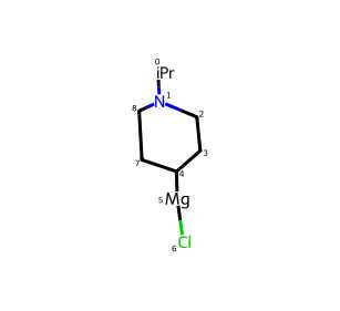 CC(C)N1CC[CH]([Mg][Cl])CC1